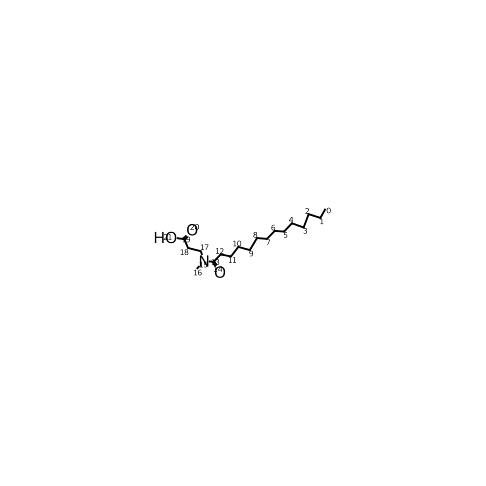 CCCCCCCCCCCCCC(=O)N(C)CCC(=O)O